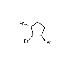 CCP1[C@H](C(C)C)CC[C@H]1C(C)C